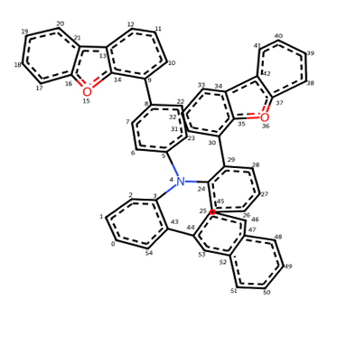 c1ccc(N(c2ccc(-c3cccc4c3oc3ccccc34)cc2)c2ccccc2-c2cccc3c2oc2ccccc23)c(-c2ccc3ccccc3c2)c1